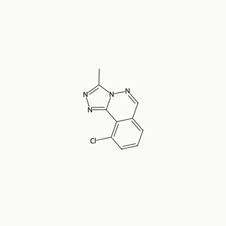 Cc1nnc2c3c(Cl)cccc3cnn12